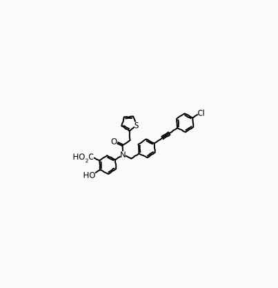 O=C(O)c1cc(N(Cc2ccc(C#Cc3ccc(Cl)cc3)cc2)C(=O)Cc2cccs2)ccc1O